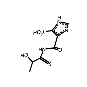 [CH2]C(O)C(=S)NC(=O)c1nc[nH]c1C(=O)O